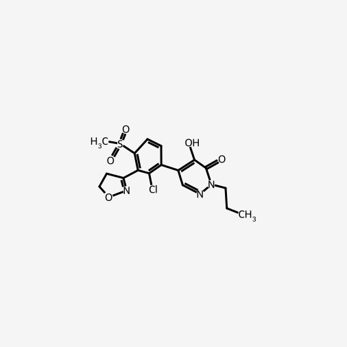 CCCn1ncc(-c2ccc(S(C)(=O)=O)c(C3=NOCC3)c2Cl)c(O)c1=O